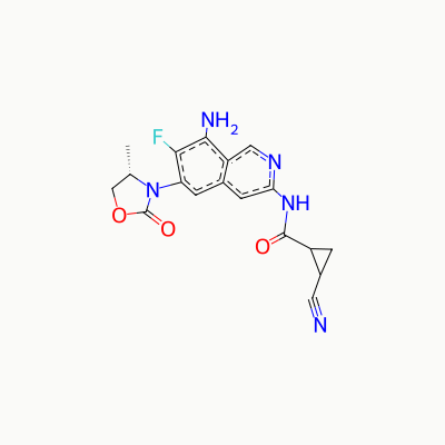 C[C@H]1COC(=O)N1c1cc2cc(NC(=O)C3CC3C#N)ncc2c(N)c1F